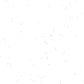 CCSc1ccc2nc(NC(=O)CC3CC(C)(F)C3)n(C3CCC3)c2n1